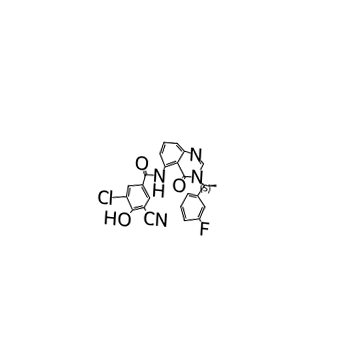 C[C@@H](c1cccc(F)c1)n1cnc2cccc(NC(=O)c3cc(Cl)c(O)c(C#N)c3)c2c1=O